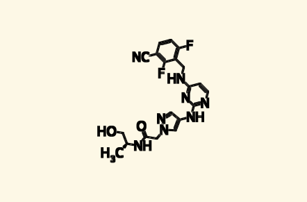 C[C@@H](CO)NC(=O)Cn1cc(Nc2nccc(NCc3c(F)ccc(C#N)c3F)n2)cn1